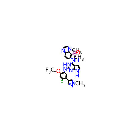 Cn1cc(-c2cc(Nc3nc(Nc4ccc5nccnc5c4P(C)(C)=O)c4cc[nH]c4n3)c(OCC(F)(F)F)cc2F)cn1